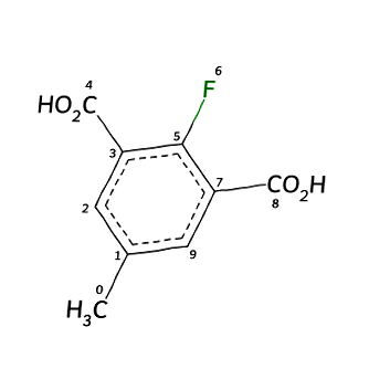 Cc1cc(C(=O)O)c(F)c(C(=O)O)c1